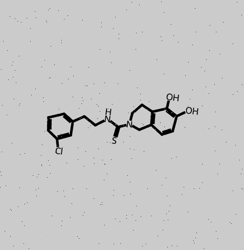 Oc1ccc2c(c1O)CCN(C(=S)NCCc1cccc(Cl)c1)C2